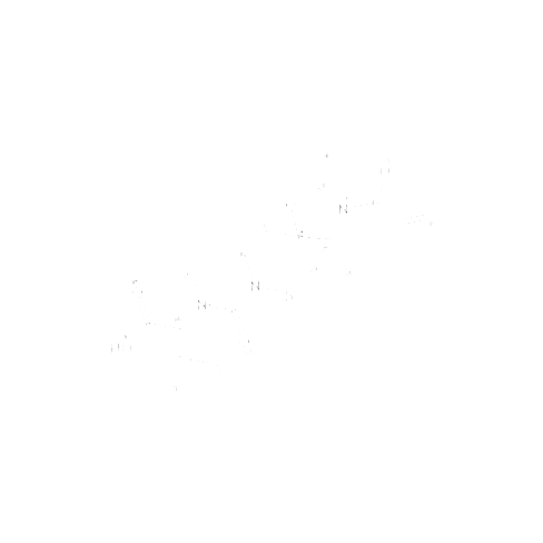 C=CC(=O)N1[C@@H](C)OC2(CCN(C(=O)N(C)C(C(=O)O)C(C)C)CC2)[C@H]1C